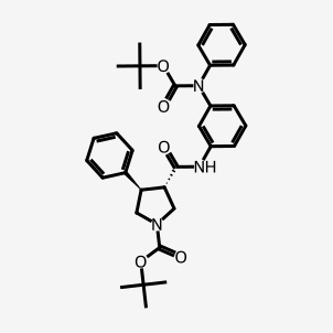 CC(C)(C)OC(=O)N1C[C@@H](C(=O)Nc2cccc(N(C(=O)OC(C)(C)C)c3ccccc3)c2)[C@H](c2ccccc2)C1